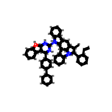 C=Cc1ccccc1-c1c(C)c2cc3c4ccccc4n(-c4nc(-c5ccc(-c6ccccc6)cc5)c5c(n4)oc4ccccc45)c3c3c4ccccc4n1c23